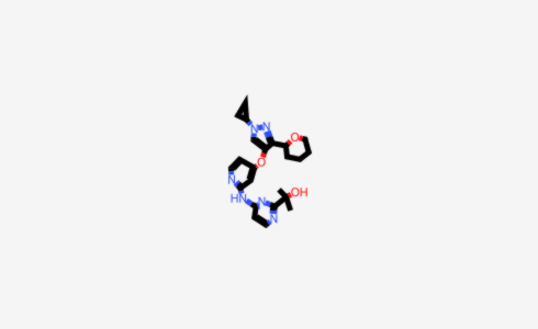 CC(C)(O)c1nccc(Nc2cc(Oc3cn(C4CC4)nc3C3CCCCO3)ccn2)n1